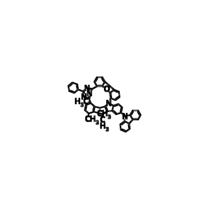 CC1C=CC2(C)C3=C1C(C)c1c(n(c4ccc(-n5c6ccccc6c6ccccc65)cc14)-c1cccc4c1oc1c(cccc14)-c1nc(-c4ccccc4)nc2n1)C3C